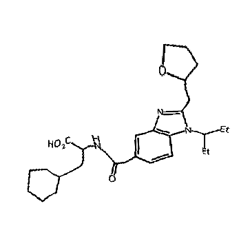 CCC(CC)n1c(CC2CCCO2)nc2cc(C(=O)NC(CC3CCCCC3)C(=O)O)ccc21